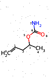 C=CCC(C)OC(N)=O